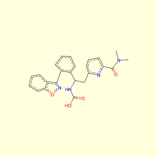 CN(C)C(=O)c1cccc(CC(NC(=O)O)c2ccccc2-c2noc3ccccc23)n1